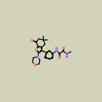 CNC(=O)C(=O)Nc1cccc(-c2c(N3CCOCC3)sc3c2CC(C)(C)CC3=O)c1